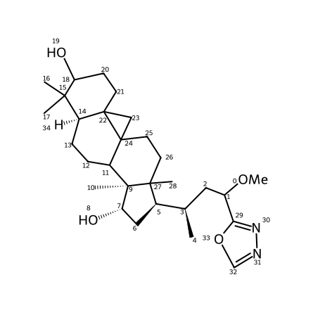 COC(C[C@@H](C)[C@H]1C[C@H](O)[C@@]2(C)C3CC[C@H]4C(C)(C)C(O)CCC45CC35CCC12C)c1nnco1